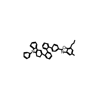 CCCc1cc(C)cc2nc(-c3ccc(-c4ccccc4-c4ccccc4C4=Cc5c(n(-c6ccccc6)c6ccccc56)CC4)cc3)oc12